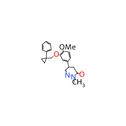 COc1ccc(C2C=NN(C)C(=O)C2)cc1OCC1(c2ccccc2)CC1